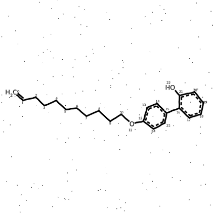 C=CCCCCCCCCCOc1ccc(-c2ccccc2O)cc1